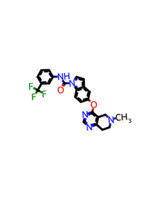 CN1CCc2ncnc(Oc3ccc4c(ccn4C(=O)Nc4cccc(C(F)(F)F)c4)c3)c2C1